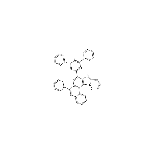 c1ccc(-c2cc(-c3cc4c(-c5ccccc5)nc5ccccc5c4c4c3oc3ccccc34)nc(-c3ccccc3)n2)cc1